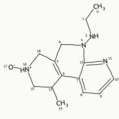 CCNN1CC2=C(c3cccnc31)C(C)C[NH+]([O-])C2